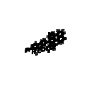 CC(C)c1ccc2c(c1)C(C)(C)c1cc(-c3c4ccccc4c(-c4cccc5ccccc45)c4ccncc34)ccc1-2